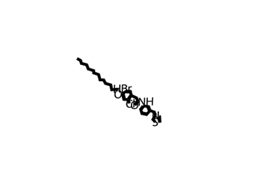 Br.CCCCCCCCCCCCCCOc1ccc(CC(=O)Nc2cccc(CN3C=CSC3)c2)c(Cl)c1